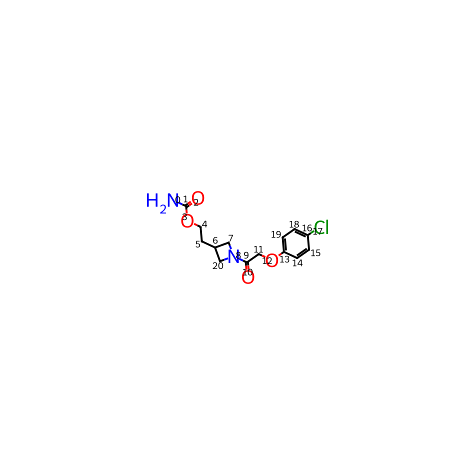 NC(=O)OCCC1CN(C(=O)COc2ccc(Cl)cc2)C1